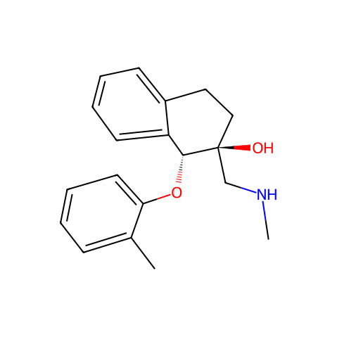 CNC[C@@]1(O)CCc2ccccc2[C@H]1Oc1ccccc1C